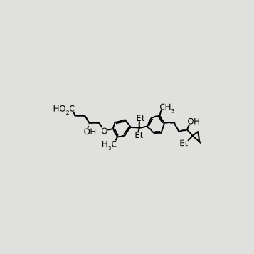 CCC(CC)(c1ccc(CCC(O)C2(CC)CC2)c(C)c1)c1ccc(OC[C@H](O)CCC(=O)O)c(C)c1